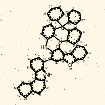 B1c2cccc3c2N(c2ccccc2C3(c2ccccc2)c2ccccc2)c2c1c(-c1cccc3c1[nH]c1ccc4ccccc4c13)cc1oc3ccccc3c21